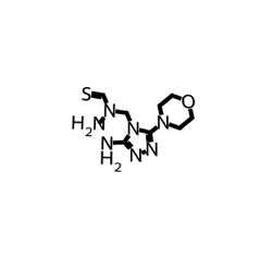 Nc1nnc(N2CCOCC2)n1CN(N)C=S